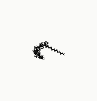 CCCCCCCCCCCCCC(OC)c1ccc(-c2cnc3c(c2)n(CC(=O)N2CCC2)c(=O)n3C)s1